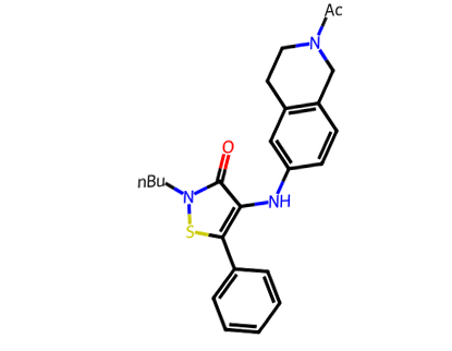 CCCCn1sc(-c2ccccc2)c(Nc2ccc3c(c2)CCN(C(C)=O)C3)c1=O